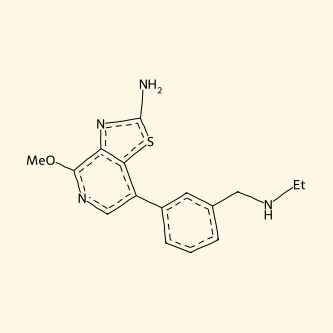 CCNCc1cccc(-c2cnc(OC)c3nc(N)sc23)c1